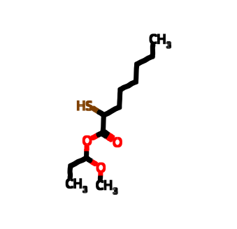 CCCCCCC(S)C(=O)OC(CC)OC